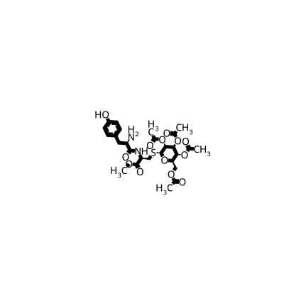 COC(=O)[C@H](CS[C@H]1O[C@H](COC(C)=O)[C@@H](OC(C)=O)[C@H](OC(C)=O)[C@H]1OC(C)=O)NC(=O)[C@@H](N)Cc1ccc(O)cc1